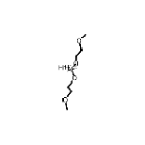 COCC[O][Al+2][O]CCOC.[H-].[H-]